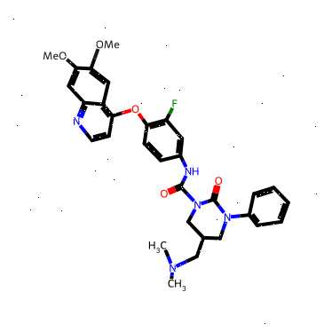 COc1cc2nccc(Oc3ccc(NC(=O)N4CC(CN(C)C)CN(c5ccccc5)C4=O)cc3F)c2cc1OC